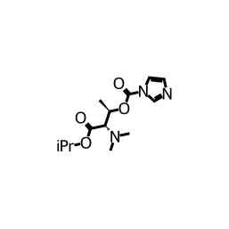 CC(C)OC(=O)[C@H]([C@@H](C)OC(=O)n1ccnc1)N(C)C